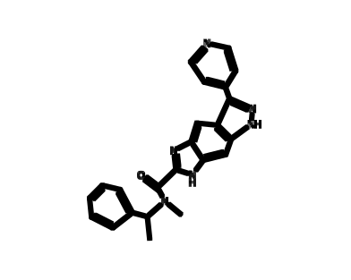 CC(c1ccccc1)N(C)C(=O)c1nc2cc3c(-c4ccncc4)n[nH]c3cc2[nH]1